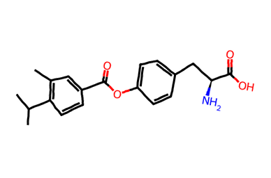 Cc1cc(C(=O)Oc2ccc(C[C@H](N)C(=O)O)cc2)ccc1C(C)C